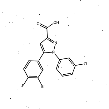 O=C(O)c1cc(-c2ccc(F)c(Br)c2)n(-c2cccc(Cl)c2)n1